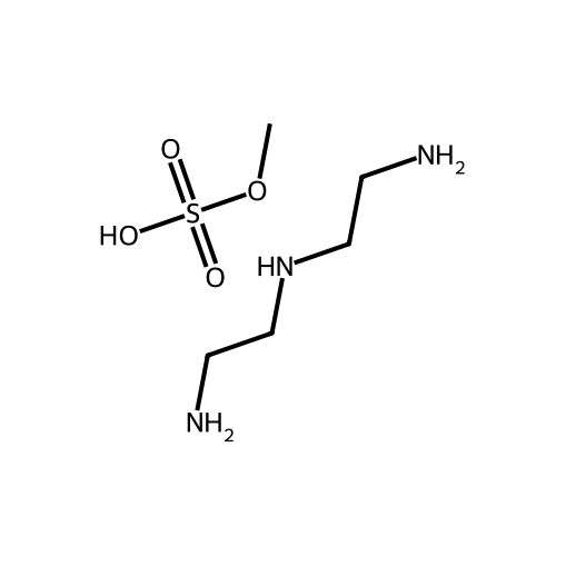 COS(=O)(=O)O.NCCNCCN